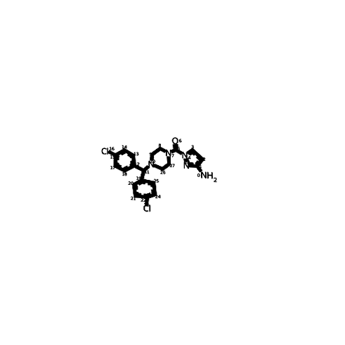 Nc1ccn(C(=O)N2CCN(C(c3ccc(Cl)cc3)c3ccc(Cl)cc3)CC2)n1